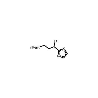 CCCCCCCC(CC)c1nccs1